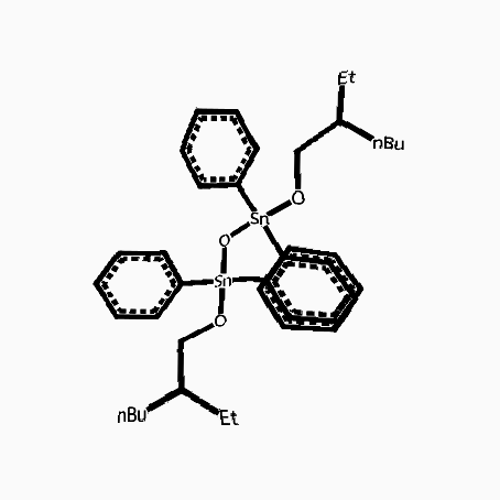 CCCCC(CC)C[O][Sn]([O][Sn]([O]CC(CC)CCCC)([c]1ccccc1)[c]1ccccc1)([c]1ccccc1)[c]1ccccc1